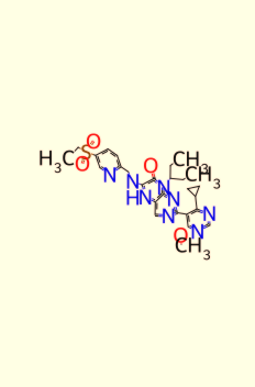 CCC(CC)n1c(=O)c(NCc2ccc(S(=O)(=O)CC)cn2)nc2cnc(-c3c(OC)ncnc3C3CC3)nc21